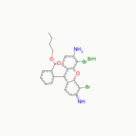 Br.CCCCOC(=O)c1ccccc1-c1c2ccc(=N)c(Br)c-2oc2c(Br)c(N)ccc12